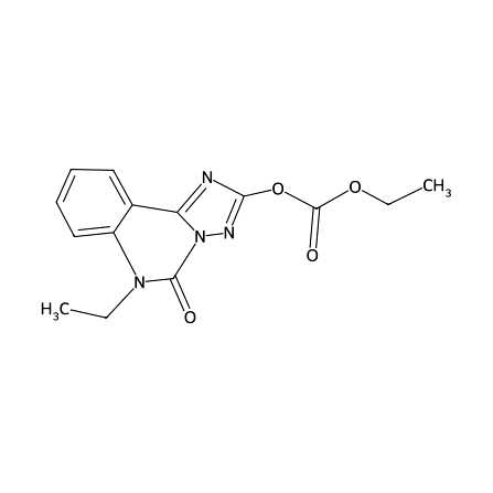 CCOC(=O)Oc1nc2c3ccccc3n(CC)c(=O)n2n1